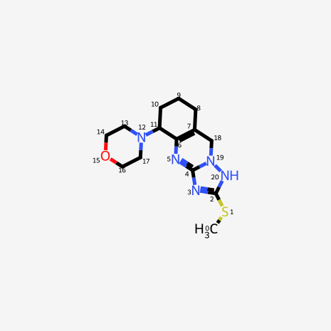 CSC1=NC2=NC3=C(CCCC3N3CCOCC3)CN2N1